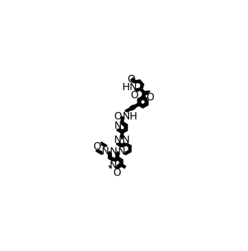 Cc1cc2c(N3CCCc4nc(-c5ccc(C(=O)NCC#Cc6ccc7occ(C8CCC(=O)NC8=O)c7c6)nc5)ncc43)nc(N3CCOCC3)cc2n(C)c1=O